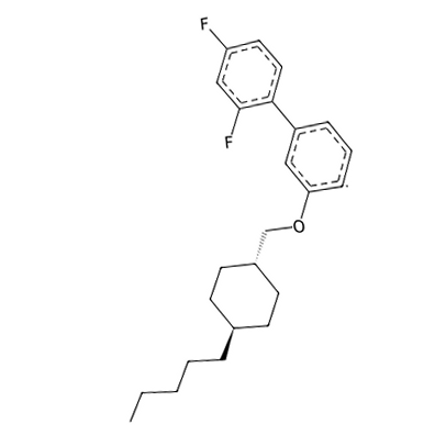 CCCCC[C@H]1CC[C@H](COc2[c]ccc(-c3ccc(F)cc3F)c2)CC1